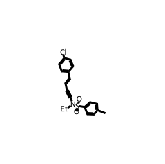 CCN(C#CC=Cc1ccc(Cl)cc1)S(=O)(=O)c1ccc(C)cc1